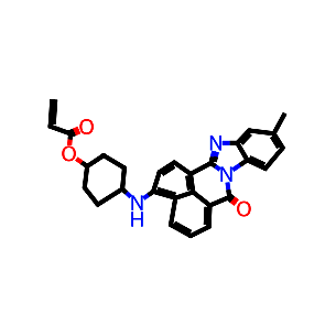 C=CC(=O)OC1CCC(Nc2ccc3c4c2cccc4c(=O)n2c4ccc(C)cc4nc32)CC1